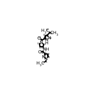 CCn1ccc(C(=O)NC2CCN(C(=O)c3cc(C(C)C)n[nH]3)C2)n1